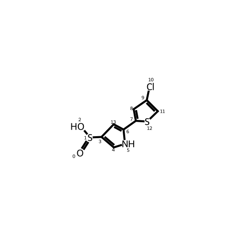 O=S(O)c1c[nH]c(-c2cc(Cl)cs2)c1